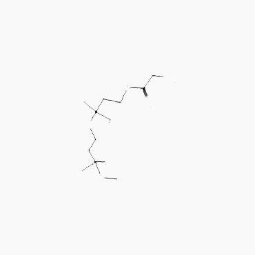 COC(C)(C)CCOC(C)(C)CCNC(=O)CP